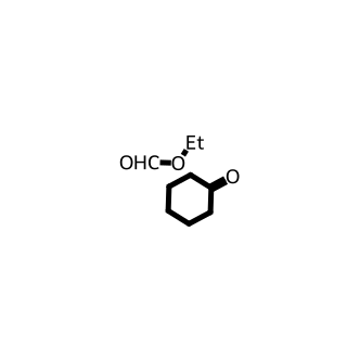 CCOC=O.O=C1CCCCC1